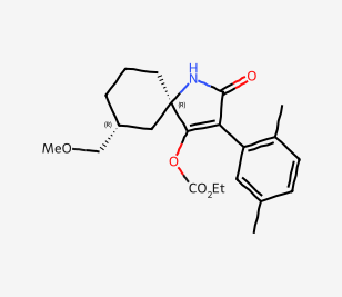 CCOC(=O)OC1=C(c2cc(C)ccc2C)C(=O)N[C@@]12CCC[C@@H](COC)C2